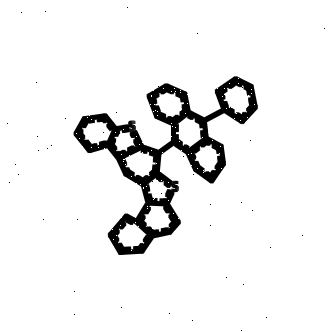 c1ccc(-c2c3ccccc3c(-c3c4sc5ccccc5c4cc4c3sc3ccc5ccccc5c34)c3ccccc23)cc1